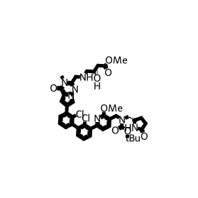 COC(=O)C[C@H](O)CNCc1nn2cc(-c3cccc(-c4cccc(-c5ccc(CN(C[C@@H]6CCC(=O)N6)C(=O)OC(C)(C)C)c(OC)n5)c4Cl)c3Cl)cc2c(=O)n1C